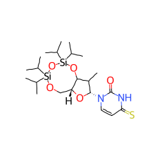 CC1C2O[Si](C(C)C)(C(C)C)O[Si](C(C)C)(C(C)C)OC[C@H]2O[C@H]1n1ccc(=S)[nH]c1=O